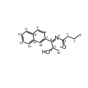 CCCC(=O)/N=C(/c1ccc2ccccc2c1)C(C)O